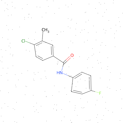 Cc1cc(C(=O)Nc2ccc(F)cc2)ccc1Cl